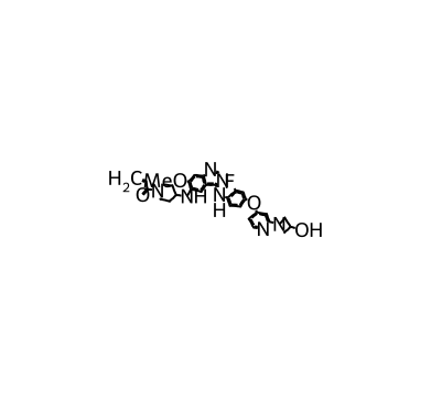 C=CC(=O)N1CCC(Nc2cc3c(Nc4ccc(Oc5ccnc(N6CC(O)C6)c5)cc4F)ncnc3cc2OC)CC1